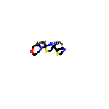 CC(=O)NC1(N2CCOCC2)NC(C)(c2cncs2)CS1